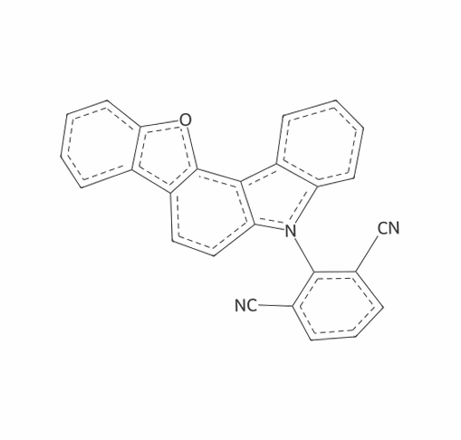 N#Cc1cccc(C#N)c1-n1c2ccccc2c2c3oc4ccccc4c3ccc21